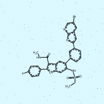 CCS(=O)(=O)Nc1cc2oc(-c3ccc(F)cc3)c(C(=O)NC)c2cc1-c1cccc(-c2cc3cc(Br)cnc3o2)c1